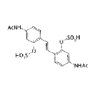 CC(=O)Nc1ccc(C=Cc2ccc(NC(C)=O)cc2OS(=O)(=O)O)c(OS(=O)(=O)O)c1